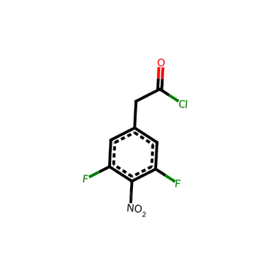 O=C(Cl)Cc1cc(F)c([N+](=O)[O-])c(F)c1